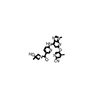 Cc1cc(C#N)ncc1Oc1cc(Nc2ccc(C(=O)N3CC(C)(O)C3)cn2)c2ncn(C)c2n1